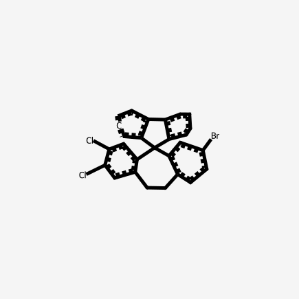 Clc1cc2c(cc1Cl)C1(c3cc(Br)ccc3CC2)c2ccccc2-c2ccccc21